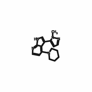 Cn1nccc1-c1c[nH]c2nccc(N3CCCCC3)c12